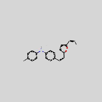 CC/C=C\c1ccc(/C=C\c2ccc(N(CCCCCC)c3ccc(C)cc3)cc2)o1